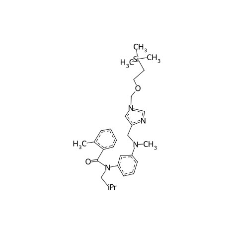 Cc1ccccc1C(=O)N(CC(C)C)c1cccc(N(C)Cc2cn(COCC[Si](C)(C)C)cn2)c1